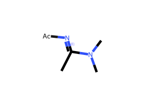 CC(=O)/N=C(\C)N(C)C